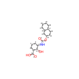 O=C(Nc1cccc(C(=O)O)c1O)Oc1ccc2ccccc2c1